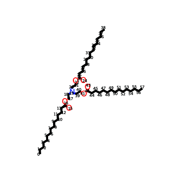 CCCCCCCCCCCCCCC(=O)OCCN(CCOC(=O)CCCCCCCCCCCCCC)CCOC(=O)CCCCCCCCCCCCCC